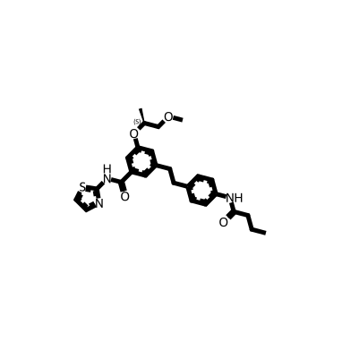 CCCC(=O)Nc1ccc(CCc2cc(O[C@@H](C)COC)cc(C(=O)Nc3nccs3)c2)cc1